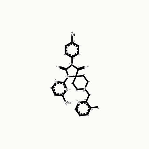 COc1ccnc(N2C(=O)N(c3ccc(C#N)cc3)C(=O)C23CCN(Cc2ncccc2C)CC3)n1